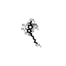 C=CC(=O)C1(N)C(C)(C)CC2(CC1(C)C)C(=O)C(N)(CCCCCCCC)C(=O)C2N